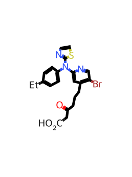 CCc1ccc(N(c2cc(CCCC(=O)CC(=O)O)c(Br)cn2)c2nccs2)cc1